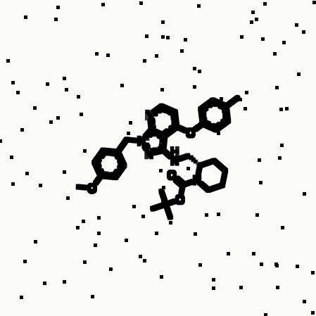 COc1ccc(Cn2nc(NC[C@@H]3CCCCN3C(=O)OC(C)(C)C)c3c(Oc4ccc(C)cc4)ccnc32)cc1